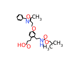 Cc1oc(-c2ccccc2)nc1CCOc1ccc(CCC(=O)O)c(CCNC(=O)OCC(C)C)c1